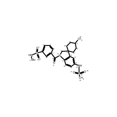 CC(C)(C)NS(=O)(=O)c1cccc(C(=O)N2CC3(CCC(C(F)(F)F)CC3)c3cc(NS(C)(=O)=O)ccc32)c1